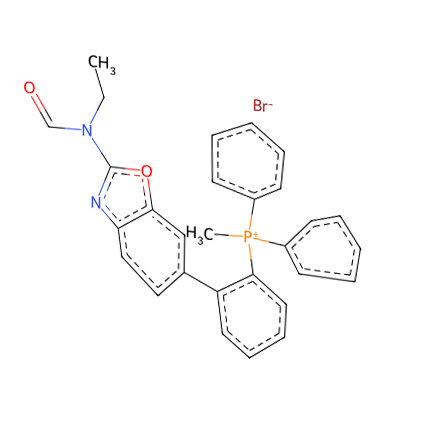 CCN(C=O)c1nc2ccc(-c3ccccc3[P+](C)(c3ccccc3)c3ccccc3)cc2o1.[Br-]